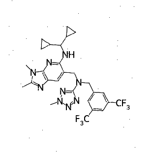 Cc1nc2cc(CN(Cc3cc(C(F)(F)F)cc(C(F)(F)F)c3)c3nnn(C)n3)c(NC(C3CC3)C3CC3)nc2n1C